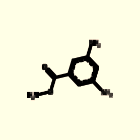 NOC(=O)c1cc(N)cc(N)c1